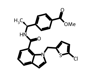 COC(=O)c1ccc([C@H](C)NC(=O)c2cccc3ccn(Cc4ccc(Cl)s4)c23)cc1